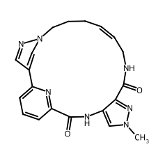 Cn1cc2c(n1)C(=O)NC/C=C\CCCn1cc(cn1)-c1cccc(n1)C(=O)N2